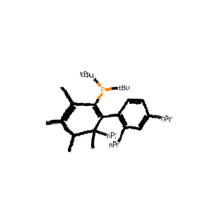 CCCc1ccc(C2=C(P(C(C)(C)C)C(C)(C)C)C(C)=C(C)C(C)C2(C)CCC)c(CCC)c1